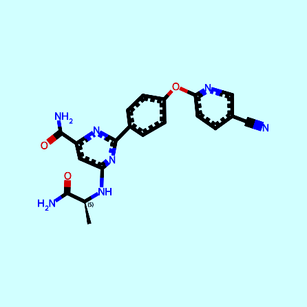 C[C@H](Nc1cc(C(N)=O)nc(-c2ccc(Oc3ccc(C#N)cn3)cc2)n1)C(N)=O